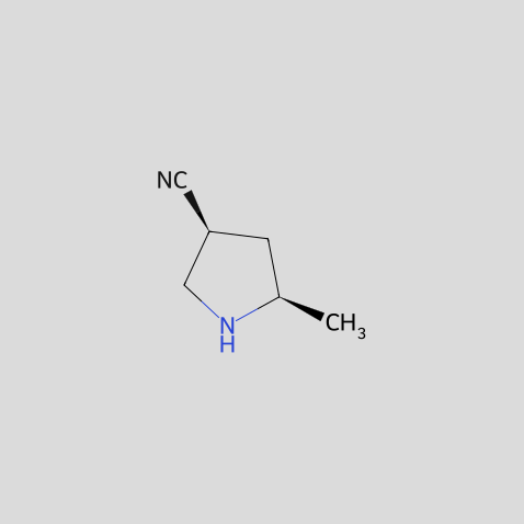 C[C@@H]1C[C@H](C#N)CN1